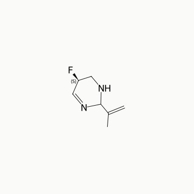 C=C(C)C1N=C[C@@H](F)CN1